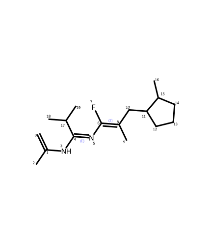 C=C(C)N/C(=N/C(F)=C(\C)CC1CCCC1C)C(C)C